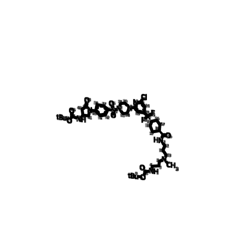 CN(CCCNC(=O)OC(C)(C)C)CCCNC(=O)[C@H]1CC[C@H](C(F)(F)c2cc(Cl)nc(N3CCN(S(=O)(=O)c4ccc(N5C[C@H](NC(=O)OC(C)(C)C)CC5=O)cc4)CC3)c2)CC1